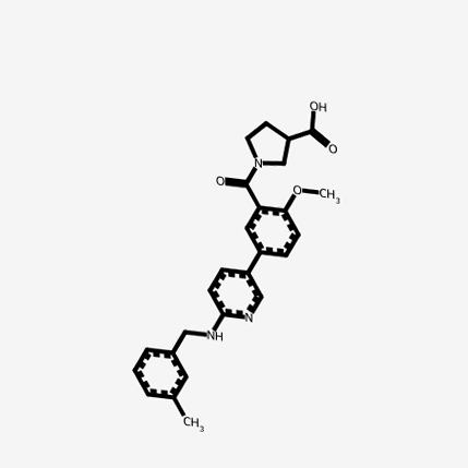 COc1ccc(-c2ccc(NCc3cccc(C)c3)nc2)cc1C(=O)N1CCC(C(=O)O)C1